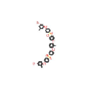 Cc1cc(Br)cc(Oc2ccc(S(=O)(=O)c3ccc(Oc4cccc(Oc5ccc(S(=O)(=O)c6ccc(Oc7ccc(Br)cc7C)cc6)cc5)c4C)cc3)cc2)c1